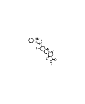 CCOC(=O)c1cn(C)c2nc3cc(N4CCN[C@@H](c5ccccc5)C4)c(F)cc3cc2c1=O